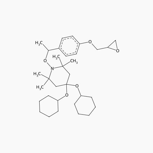 CC(ON1C(C)(C)CC(OC2CCCCC2)(OC2CCCCC2)CC1(C)C)c1ccc(OCC2CO2)cc1